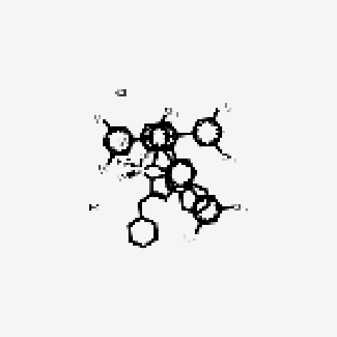 Cc1cc(C)cc(-c2ccc(-c3cc(C)cc(C)c3)c3c2C=C(CC2CCCCC2)[CH]3[Zr]([CH3])([CH3])(=[SiH2])[CH]2C(CC3CCCCC3)=Cc3c(-c4cc(C)cc(C)c4)ccc(-c4cc(C)cc(C)c4)c32)c1.Cl.Cl